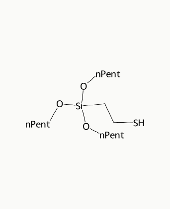 CCCCCO[Si](CCS)(OCCCCC)OCCCCC